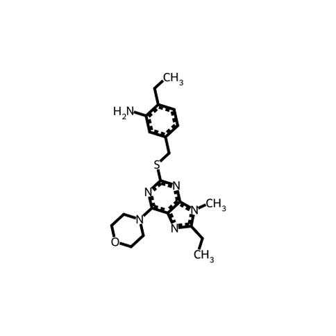 CCc1ccc(CSc2nc(N3CCOCC3)c3nc(CC)n(C)c3n2)cc1N